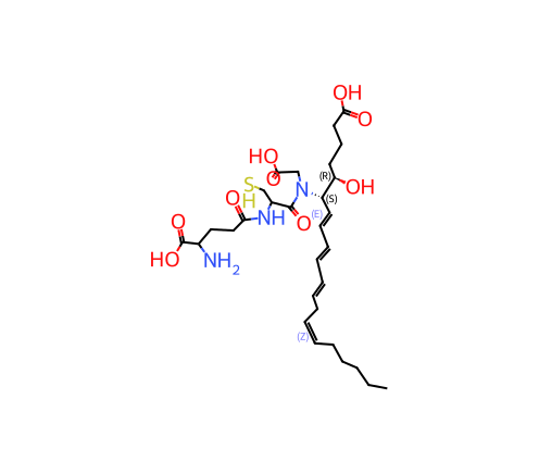 CCCCC/C=C\CC=CC=C/C=C/[C@@H]([C@H](O)CCCC(=O)O)N(CC(=O)O)C(=O)C(CS)NC(=O)CCC(N)C(=O)O